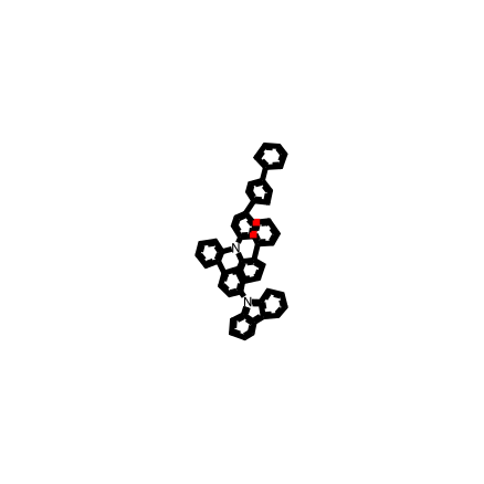 c1ccc(-c2ccc(-c3ccc(N(c4ccccc4-c4ccccc4)c4ccccc4-c4ccc(-n5c6ccccc6c6ccccc65)cc4)cc3)cc2)cc1